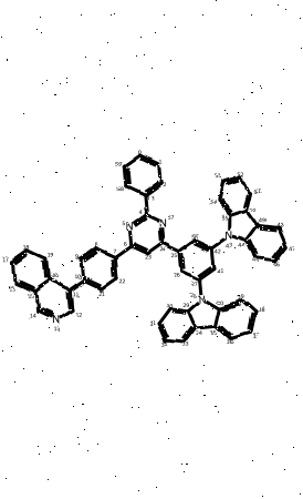 c1ccc(-c2nc(-c3ccc(-c4cncc5ccccc45)cc3)cc(-c3cc(-n4c5ccccc5c5ccccc54)cc(-n4c5ccccc5c5ccccc54)c3)n2)cc1